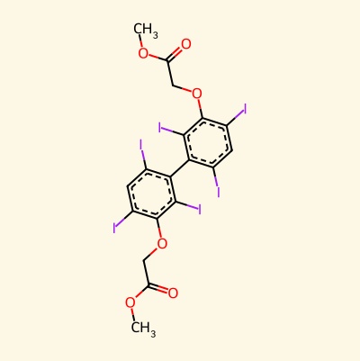 COC(=O)COc1c(I)cc(I)c(-c2c(I)cc(I)c(OCC(=O)OC)c2I)c1I